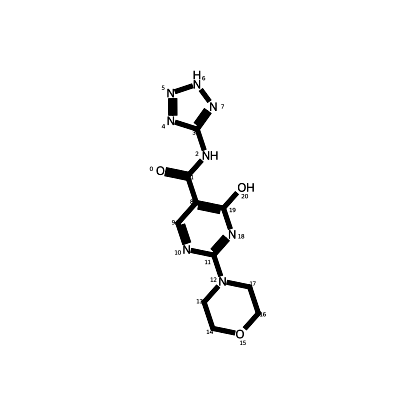 O=C(Nc1nn[nH]n1)c1cnc(N2CCOCC2)nc1O